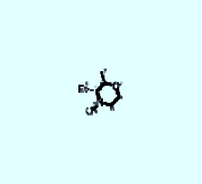 CC[C@@H]1[C@@H](C)OCCN1Cl